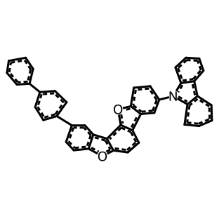 c1ccc(-c2ccc(-c3ccc4oc5ccc6c7cc(-n8c9ccccc9c9ccccc98)ccc7oc6c5c4c3)cc2)cc1